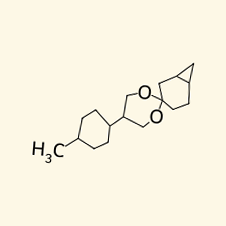 CC1CCC(C2COC3(CCC4CC4C3)OC2)CC1